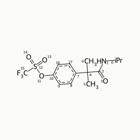 CC(C)NC(=O)C(C)(C)c1ccc(OS(=O)(=O)C(F)(F)F)cc1